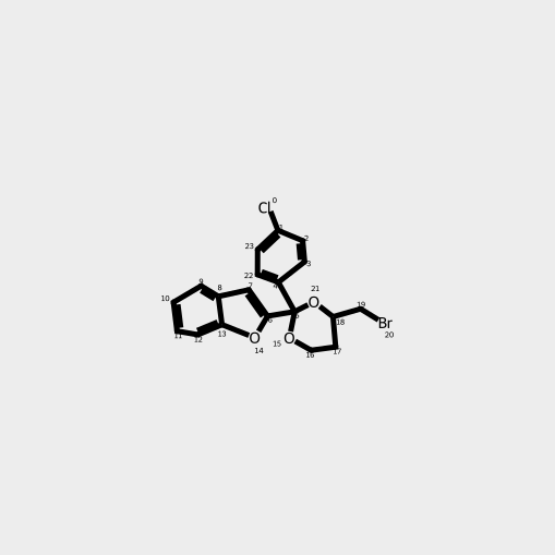 Clc1ccc(C2(c3cc4ccccc4o3)OCCC(CBr)O2)cc1